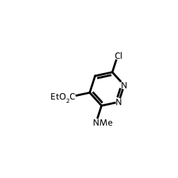 CCOC(=O)c1cc(Cl)nnc1NC